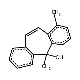 Cc1cccc2c1C=Cc1ccccc1C2(C)O